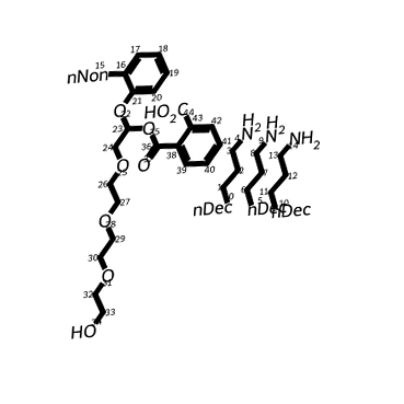 CCCCCCCCCCCCCN.CCCCCCCCCCCCCN.CCCCCCCCCCCCCN.CCCCCCCCCc1ccccc1OC(COCCOCCOCCO)OC(=O)c1ccccc1C(=O)O